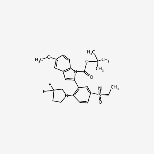 CC[S@@](=N)(=O)c1ccc(N2CCC(F)(F)C2)c(-c2cc3cc(OC)ccc3n2C(=O)OC(C)(C)C)c1